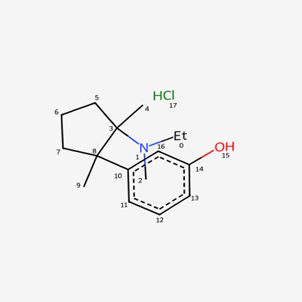 CCN(C)C1(C)CCCC1(C)c1cccc(O)c1.Cl